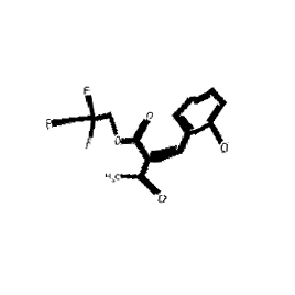 CC(=O)C(=Cc1ccccc1Cl)C(=O)OCC(F)(F)F